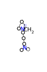 C=C1/C=C\c2ccccc2Cc2ccccc2N1c1ccc(-c2ccc(-c3ccc(N(C4=CCCC=C4)c4ccccc4)cc3)cc2)cc1